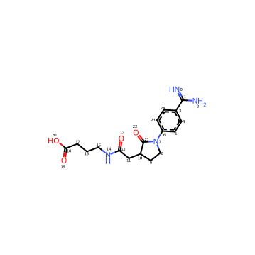 N=C(N)c1ccc(N2CCC(CC(=O)NCCCC(=O)O)C2=O)cc1